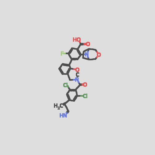 C=C(C=N)c1cc(Cl)c(C(=O)N2COc3c(cccc3-c3cc(N4C5CCC4COC5)c(C(=O)O)cc3F)C2)c(Cl)c1